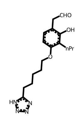 CCCc1c(OCCCCCc2nnn[nH]2)ccc(CC=O)c1O